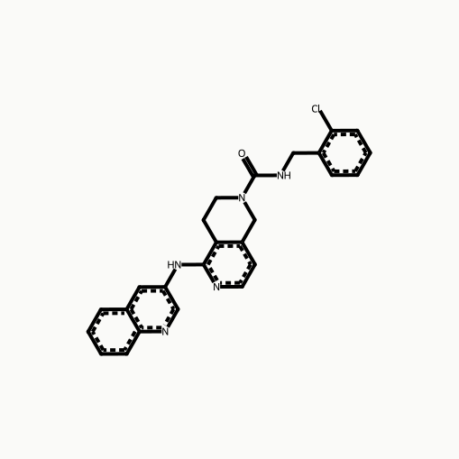 O=C(NCc1ccccc1Cl)N1CCc2c(ccnc2Nc2cnc3ccccc3c2)C1